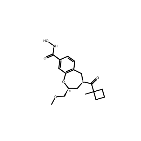 COC[C@@H]1CN(C(=O)C2(C)CCC2)Cc2ccc(C(=O)NO)cc2O1